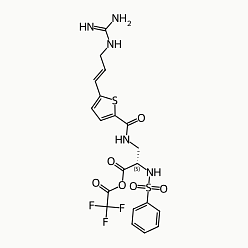 N=C(N)NCC=Cc1ccc(C(=O)NC[C@H](NS(=O)(=O)c2ccccc2)C(=O)OC(=O)C(F)(F)F)s1